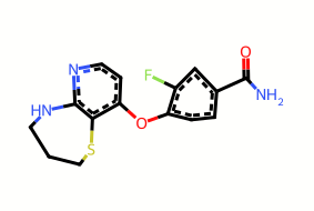 NC(=O)c1ccc(Oc2ccnc3c2SCCCN3)c(F)c1